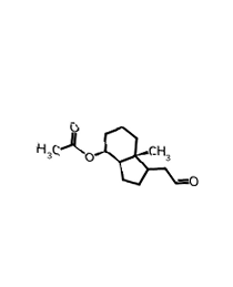 CC(=O)O[C@H]1CCC[C@]2(C)C(CC=O)CCC12